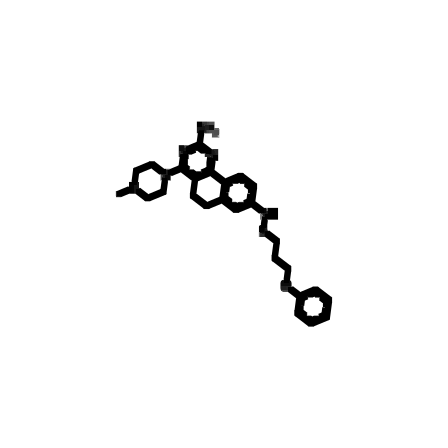 CN1CCN(c2nc(N)nc3c2CCc2cc(NSCCCOc4ccccc4)ccc2-3)CC1